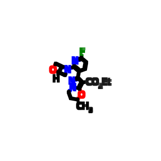 CCOC(=O)c1c(-c2ccc(F)nc2N2C[C@@H]3OCC32)nn2c1O[C@H](C)CC2